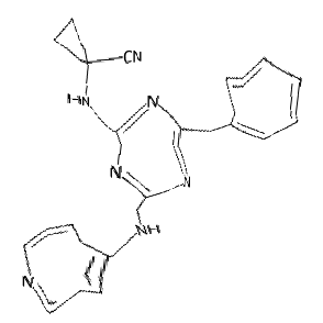 N#CC1(Nc2nc(Nc3ccncc3)nc(-c3ccccc3)n2)CC1